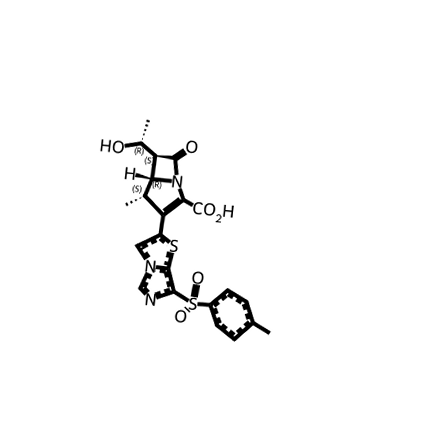 Cc1ccc(S(=O)(=O)c2ncn3cc(C4=C(C(=O)O)N5C(=O)[C@H]([C@@H](C)O)[C@H]5[C@H]4C)sc23)cc1